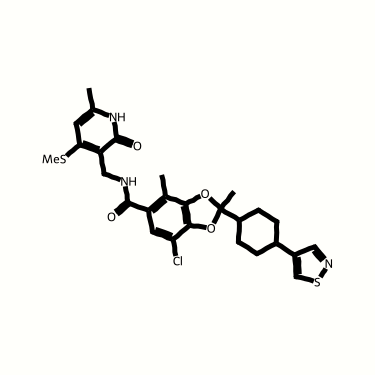 CSc1cc(C)[nH]c(=O)c1CNC(=O)c1cc(Cl)c2c(c1C)OC(C)(C1CCC(c3cnsc3)CC1)O2